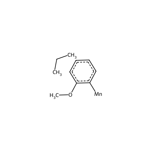 CCC.COc1cccc[c]1[Mn]